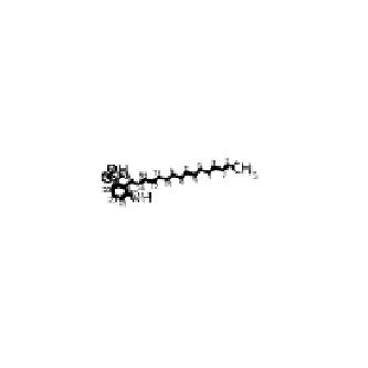 CCCCCCCCCCCCCCCCc1c(O)cccc1S(=O)(=O)O